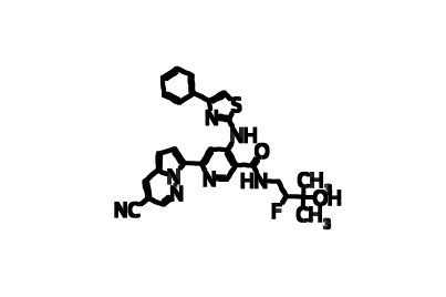 CC(C)(O)C(F)CNC(=O)c1cnc(-c2ccc3cc(C#N)cnn23)cc1Nc1nc(-c2ccccc2)cs1